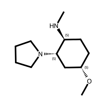 CN[C@H]1CC[C@H](OC)C[C@@H]1N1CCCC1